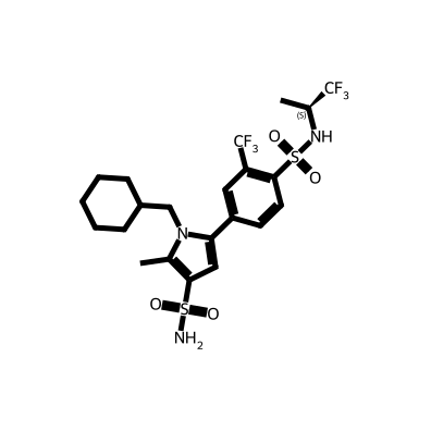 Cc1c(S(N)(=O)=O)cc(-c2ccc(S(=O)(=O)N[C@@H](C)C(F)(F)F)c(C(F)(F)F)c2)n1CC1CCCCC1